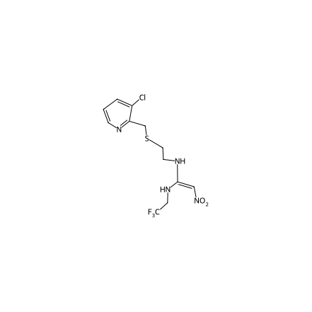 O=[N+]([O-])C=C(NCCSCc1ncccc1Cl)NCC(F)(F)F